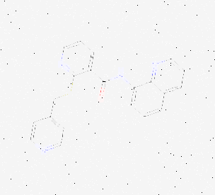 O=C(Nc1cccc2cccnc12)c1cccnc1SCc1ccncc1